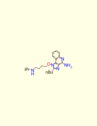 CCCCc1nc2c(N)nc3ccccc3c2n1OCCCCNC(C)C